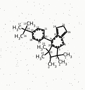 CC1C(C)(C)c2cc3c(c(-c4ccc(C(C)(C)C)cc4)c2C1(C)C)=CCC=3